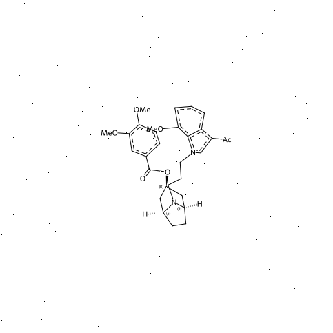 COc1ccc(C(=O)O[C@H]2C[C@H]3CC[C@@H](C2)N3CCCn2cc(C(C)=O)c3cccc(OC)c32)cc1OC